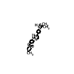 CN1CCN(S(=O)(=O)c2ccc(Nc3nccc(-c4ccc(NCC(C)(C)C)cc4)n3)cc2)CC1